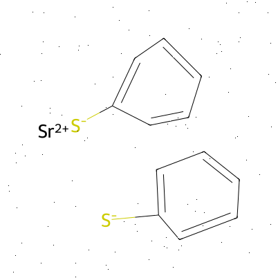 [S-]c1ccccc1.[S-]c1ccccc1.[Sr+2]